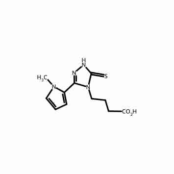 Cn1cccc1-c1n[nH]c(=S)n1CCCC(=O)O